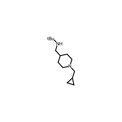 CC(C)(C)NCC1CCN(CC2CC2)CC1